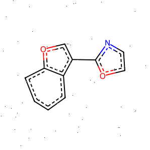 [c]1oc2ccccc2c1-c1ncco1